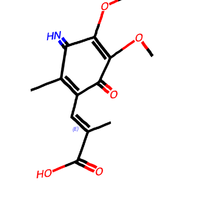 COC1=C(OC)C(=O)C(/C=C(\C)C(=O)O)=C(C)C1=N